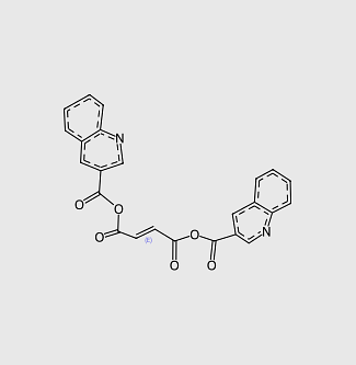 O=C(/C=C/C(=O)OC(=O)c1cnc2ccccc2c1)OC(=O)c1cnc2ccccc2c1